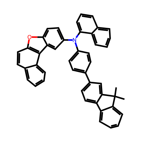 CC1(C)c2ccccc2-c2ccc(-c3ccc(N(c4ccc5oc6ccc7ccccc7c6c5c4)c4cccc5ccccc45)cc3)cc21